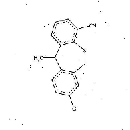 CC1c2ccc(Cl)cc2CSc2c(C#N)cccc21